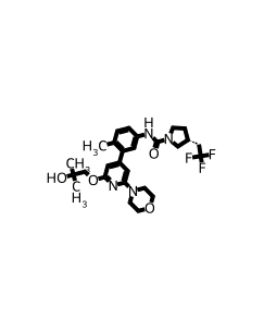 Cc1ccc(NC(=O)N2CC[C@H](CC(F)(F)F)C2)cc1-c1cc(OCC(C)(C)O)nc(N2CCOCC2)c1